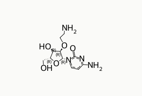 NCCO[C@@H]1[C@H](O)[C@@H](CO)O[C@H]1n1ccc(N)nc1=O